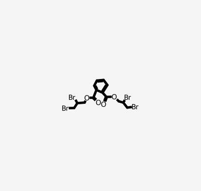 O=C(OCC(Br)CBr)c1ccccc1C(=O)OCC(Br)CBr